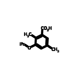 Cc1cc(OC(C)C)c(C)c(C(=O)O)c1